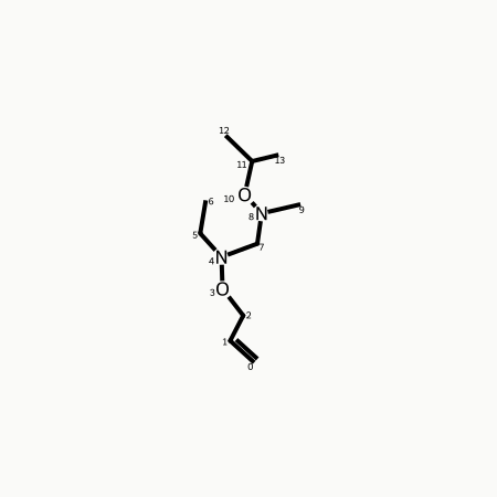 C=CCON(CC)CN(C)OC(C)C